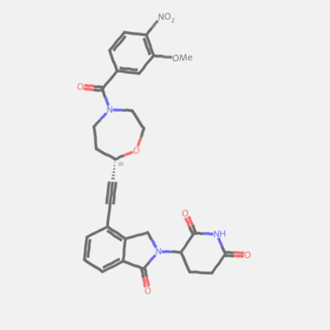 COc1cc(C(=O)N2CCO[C@H](C#Cc3cccc4c3CN(C3CCC(=O)NC3=O)C4=O)CC2)ccc1[N+](=O)[O-]